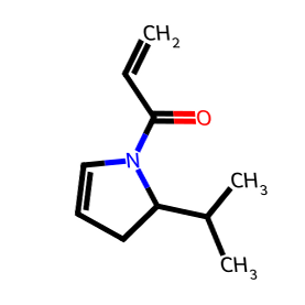 C=CC(=O)N1C=CCC1C(C)C